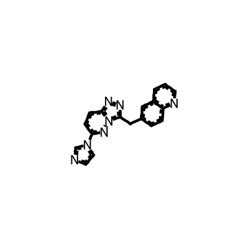 c1cnc2ccc(Cc3nnc4ccc(-n5ccnc5)nn34)cc2c1